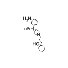 CCCC1(c2cccc(N)c2)C2CN(CCCC3(O)CCCCC3)CC21